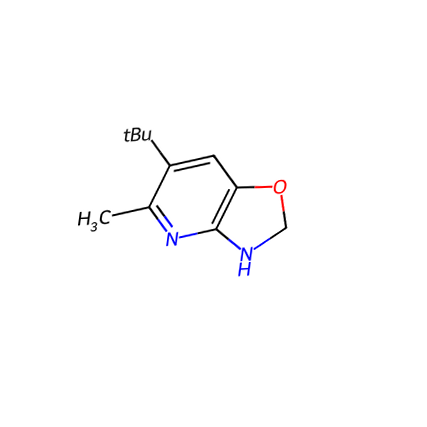 Cc1nc2c(cc1C(C)(C)C)OCN2